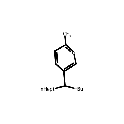 CCCCCCCC(CCCC)c1ccc(C(F)(F)F)nc1